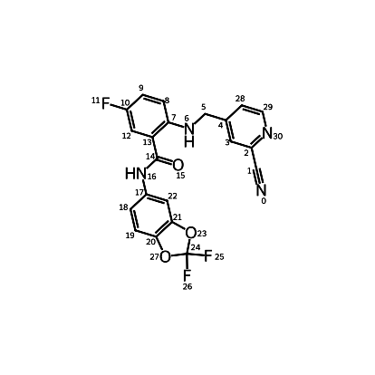 N#Cc1cc(CNc2ccc(F)cc2C(=O)Nc2ccc3c(c2)OC(F)(F)O3)ccn1